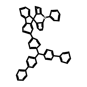 c1ccc(-c2ccc(C(c3ccc(-c4ccccc4)cc3)c3ccc(-c4ccc5c(c4)C4(c6ccccc6-5)c5ccccc5N(c5ccccc5)c5ccccc54)cc3)cc2)cc1